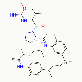 C=C(Nc1ccc(C(C)CC[C@@H](C)c2ccc(C)c(/N=C(\C)[C@@H]3CCCN3C(=O)C(NC(=N)OC)C(C)C)c2)cc1C)C(C)CCCC